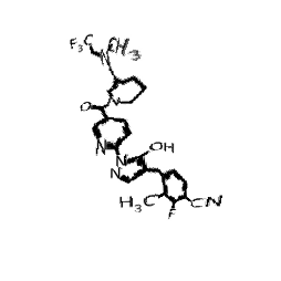 Cc1c(-c2cnn(-c3ccc(C(=O)N4CCC[C@H](N(C)CC(F)(F)F)C4)cn3)c2O)ccc(C#N)c1F